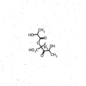 CC(O)C(=O)OC(C)(C(=O)O)C(=O)C(C)O